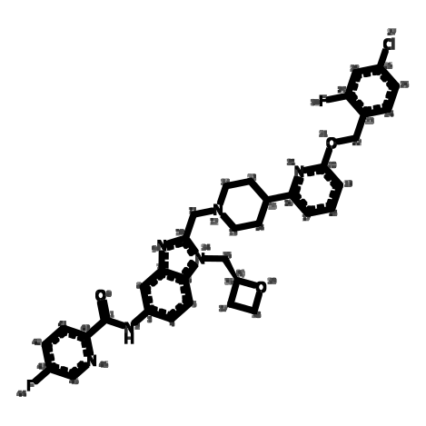 O=C(Nc1ccc2c(c1)nc(CN1CCC(c3cccc(OCc4ccc(Cl)cc4F)n3)CC1)n2C[C@@H]1CCO1)c1ccc(F)cn1